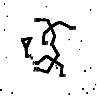 CC1CO1.OCC(CO)(CO)COCC(CO)(CO)CO